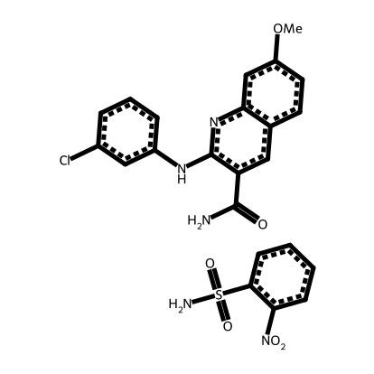 COc1ccc2cc(C(N)=O)c(Nc3cccc(Cl)c3)nc2c1.NS(=O)(=O)c1ccccc1[N+](=O)[O-]